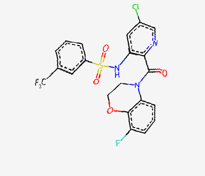 O=C(c1ncc(Cl)cc1NS(=O)(=O)c1cccc(C(F)(F)F)c1)N1CCOc2c(F)cccc21